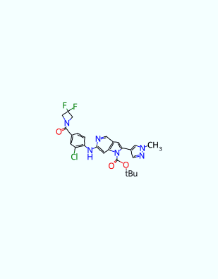 Cn1cc(-c2cc3cnc(Nc4ccc(C(=O)N5CC(F)(F)C5)cc4Cl)cc3n2C(=O)OC(C)(C)C)cn1